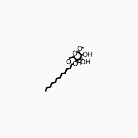 CCCCCCCCCCCC1OCC2O[C@@H](OC)C(O)[C@@H](O)[C@@H]2O1